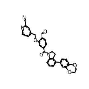 N#Cc1cc(COc2cc(C(=O)N3CCc4c(-c5ccc6c(c5)OCCO6)cccc43)ccc2C=O)ccn1